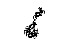 Cc1cc(OCC[C@@H]2CC23CCN(C(=O)C(O)(c2cccc4c2OC(F)(F)O4)C(F)(F)F)CC3)ccc1C(=O)N(C)C